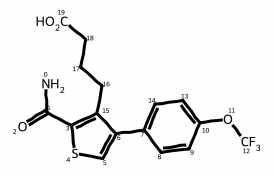 NC(=O)c1scc(-c2ccc(OC(F)(F)F)cc2)c1CCCC(=O)O